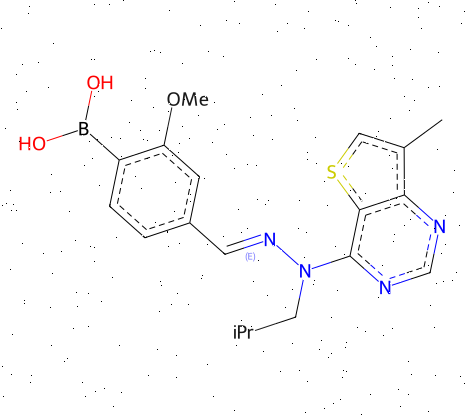 COc1cc(/C=N/N(CC(C)C)c2ncnc3c(C)csc23)ccc1B(O)O